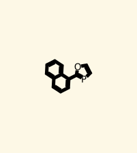 c1ccc2c(-c3occp3)cccc2c1